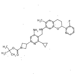 Cc1cc2c(cc1NCc1c(N)cc(C3CN(C(=O)OC(C)(C)C)C3)nc1C1CC1)OC(c1ncccc1F)CC2